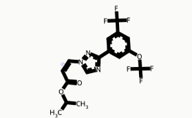 CC(C)OC(=O)/C=C\n1cnc(-c2cc(OC(F)(F)F)cc(C(F)(F)F)c2)n1